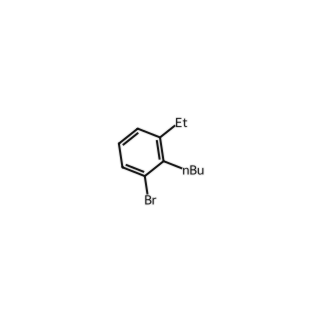 [CH2]CCCc1c(Br)cccc1CC